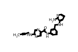 CC#CCNc1cnc(C(=O)Nc2cccc(CNc3cccnc3N)c2)cn1